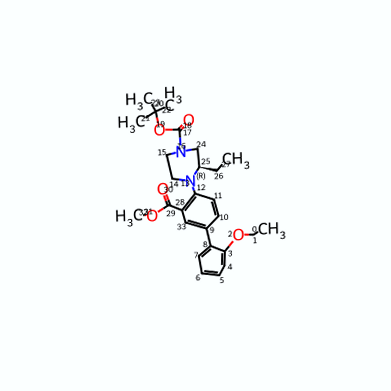 CCOc1ccccc1-c1ccc(N2CCN(C(=O)OC(C)(C)C)C[C@H]2CC)c(C(=O)OC)c1